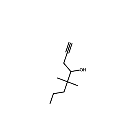 C#CCC(O)C(C)(C)CCC